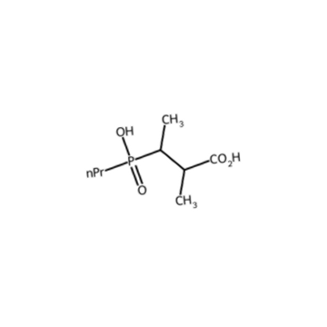 CCCP(=O)(O)C(C)C(C)C(=O)O